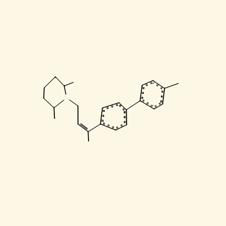 C/C(=C/CN1C(C)CCCC1C)c1ccc(-c2ccc(F)cc2)cc1